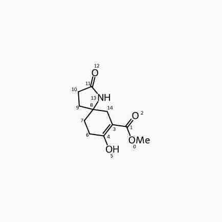 COC(=O)C1=C(O)CCC2(CCC(=O)N2)C1